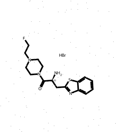 Br.N[C@@H](Cc1nc2ccccc2s1)C(=O)N1CCN(CCF)CC1